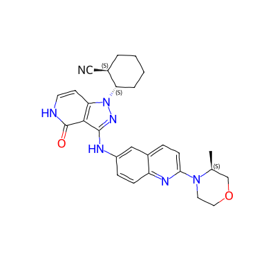 C[C@H]1COCCN1c1ccc2cc(Nc3nn([C@H]4CCCC[C@@H]4C#N)c4cc[nH]c(=O)c34)ccc2n1